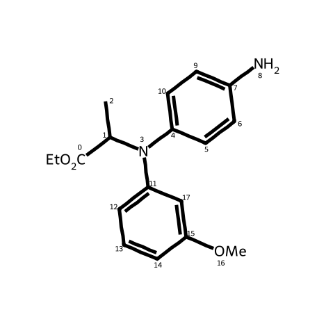 CCOC(=O)C(C)N(c1ccc(N)cc1)c1cccc(OC)c1